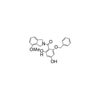 COc1cccc2c1CN(C(=O)c1c(O)cc(O)cc1OCc1ccccc1)C2